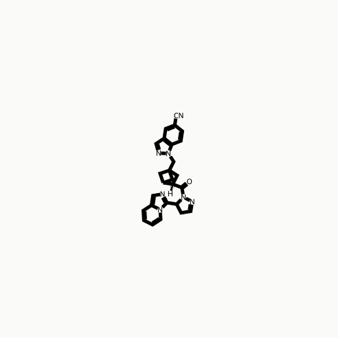 N#Cc1ccc2c(cnn2CC23CC(C2)[C@@H](C(=O)N2N=CCC2c2ncc4ccccn24)C3)c1